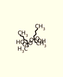 CCCCCC(CC)(OO)OOC(CC)(CCCCC)OO